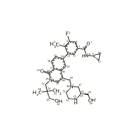 Cc1c(F)cc(C(=O)NC2CC2)cc1-c1ccc2c(=O)n(CC(C)(C)CO)cc(CN3CCN[C@H](CO)C3)c2c1